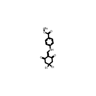 CCCCOC(=O)c1ccc(NC=C2C(=O)CC(CC)(CC)CC2=O)cc1